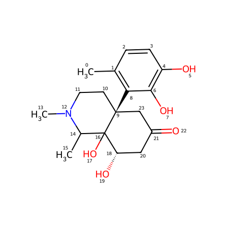 Cc1ccc(O)c(O)c1[C@]12CCN(C)C(C)C1(O)[C@@H](O)CC(=O)C2